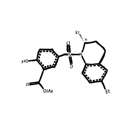 CCc1ccc2c(c1)CC[C@@H](CC)N2S(=O)(=O)c1ccc(O)c(C(=O)OC)c1